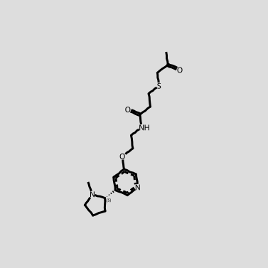 CC(=O)CSCCC(=O)NCCOc1cncc([C@@H]2CCCN2C)c1